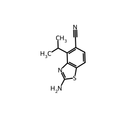 CC(C)c1c(C#N)ccc2sc(N)nc12